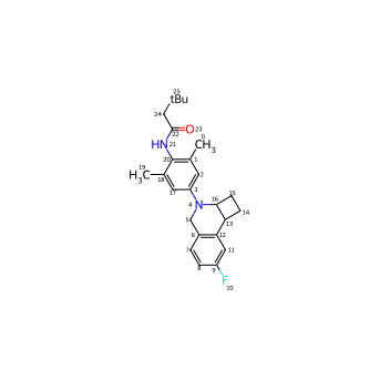 Cc1cc(N2Cc3ccc(F)cc3C3CCC32)cc(C)c1NC(=O)CC(C)(C)C